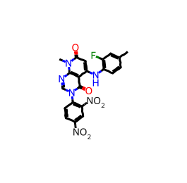 Cc1ccc(Nc2cc(=O)n(C)c3ncn(-c4ccc([N+](=O)[O-])cc4[N+](=O)[O-])c(=O)c23)c(F)c1